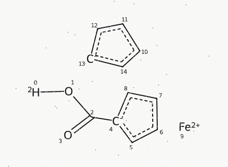 [2H]OC(=O)[c-]1cccc1.[Fe+2].c1cc[cH-]c1